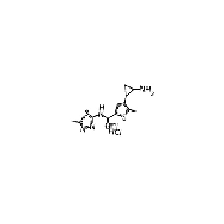 Cc1nnc(NC(=O)c2cc(C3CC3N)c(C)s2)s1.Cl.Cl